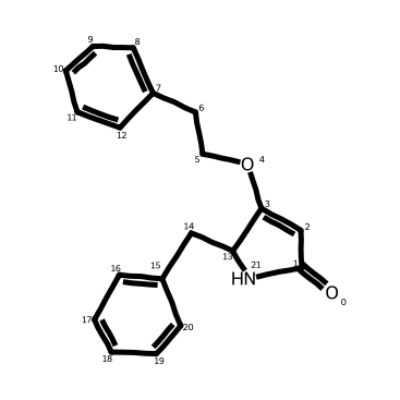 O=C1C=C(OCCc2ccccc2)C(Cc2ccccc2)N1